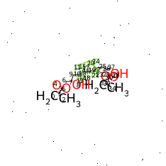 C=C(C)C(=O)OCC(O)CC(F)(F)C(F)(F)C(F)(F)C(F)(F)C(F)(F)CC(CO)OC(=O)C(=C)C